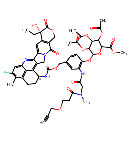 C#CCOCCC(=O)N(C)CC(=O)Nc1cc(COC(=O)N[C@H]2CCc3c(C)c(F)cc4nc5c(c2c34)Cn2c-5cc3c(c2=O)COC(=O)[C@]3(O)CC)ccc1OC1OC(C(=O)OC)C(OC(C)=O)C(OC(C)=O)C1OC(C)=O